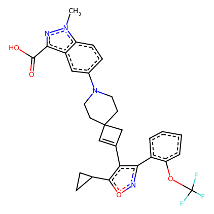 Cn1nc(C(=O)O)c2cc(N3CCC4(C=C(c5c(-c6ccccc6OC(F)(F)F)noc5C5CC5)C4)CC3)ccc21